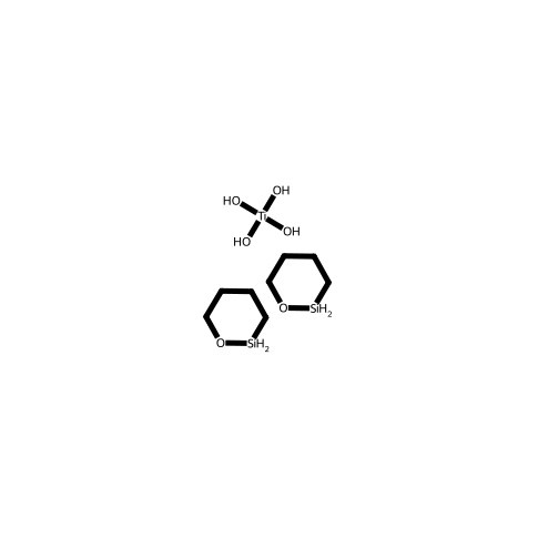 C1CC[SiH2]OC1.C1CC[SiH2]OC1.[OH][Ti]([OH])([OH])[OH]